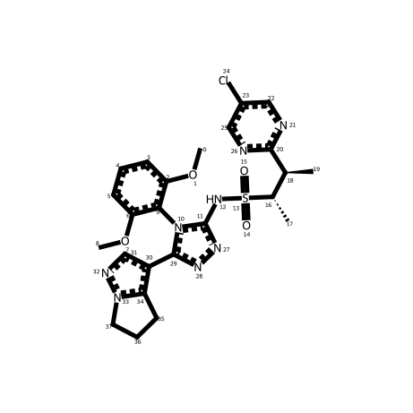 COc1cccc(OC)c1-n1c(NS(=O)(=O)[C@@H](C)[C@H](C)c2ncc(Cl)cn2)nnc1-c1cnn2c1CCC2